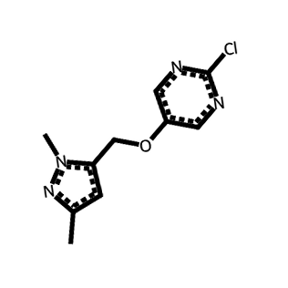 Cc1cc(COc2cnc(Cl)nc2)n(C)n1